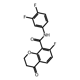 O=C1CCOc2c1ccc(F)c2C(=O)Nc1ccc(F)c(F)c1